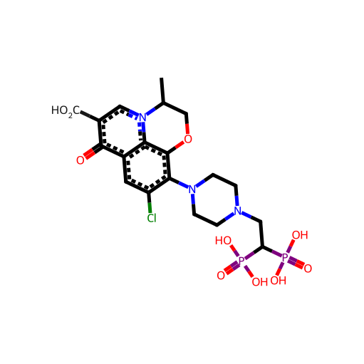 CC1COc2c(N3CCN(CC(P(=O)(O)O)P(=O)(O)O)CC3)c(Cl)cc3c(=O)c(C(=O)O)cn1c23